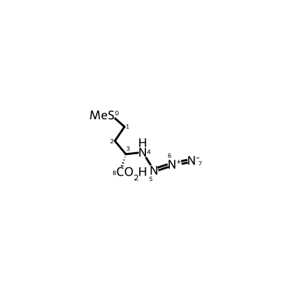 CSCC[C@H](NN=[N+]=[N-])C(=O)O